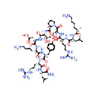 CC(C)C[C@H](NC(=O)[C@H](CCCNC(=N)N)NC(=O)[C@H](Cc1ccc(O)cc1)NC(=O)[C@H](CCCCN)NC(=O)[C@H](CC(=O)O)NC(=O)[C@@H](NC(=O)[C@H]1CCCN1C(=O)[C@H](CO)NC(=O)[C@H](CCCNC(=N)N)NC(=O)[C@H](CC(C)C)NC(=O)[C@@H](C)CCCCN)[C@@H](C)O)C(N)=O